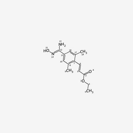 CCOC(=O)C=Cc1c(C)cc(C(N)=NO)cc1C